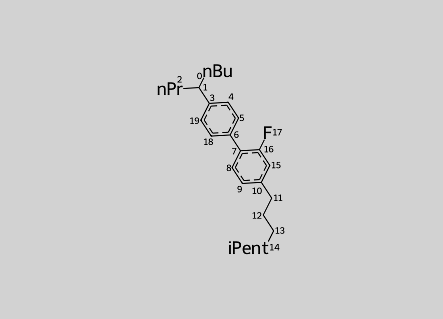 CCCCC(CCC)c1ccc(-c2ccc(CCCC(C)CCC)cc2F)cc1